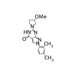 COC1CCN(c2nc3nn(-c4ccc(C)cc4C)cc3c(=O)[nH]2)C1